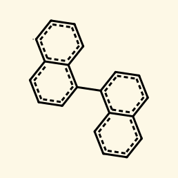 [c]1cccc2c(-c3cccc4ccccc34)cccc12